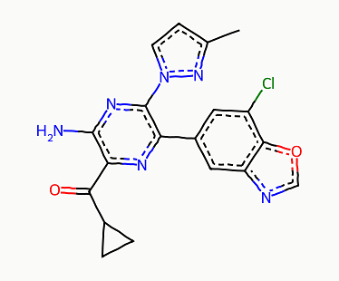 Cc1ccn(-c2nc(N)c(C(=O)C3CC3)nc2-c2cc(Cl)c3ocnc3c2)n1